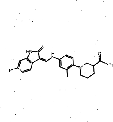 Cc1cc(NC=C2C(=O)Nc3cc(F)ccc32)ccc1N1CCCC(C(N)=O)C1